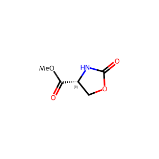 COC(=O)[C@H]1COC(=O)N1